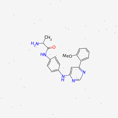 COc1ccccc1-c1cc(Nc2ccc(NC(=O)C(C)N)cc2)ncn1